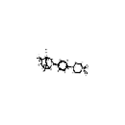 CC1(C)C[C@@H]2CN(c3ccc(N4CCS(=O)(=O)CC4)cc3)C1CNC2=O